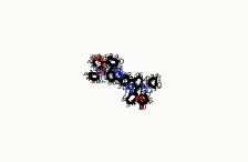 CCCc1cccc2c1c1c(N(c3ccccc3)c3ccccc3)ccc3c4cc5c(cc4n2c31)c1ccc(N(c2ccccc2)c2ccccc2)c2c3c(CCC)cccc3n5c12